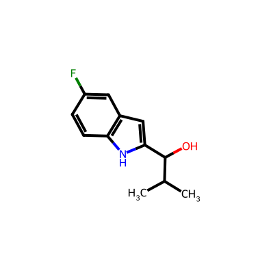 CC(C)C(O)c1cc2cc(F)ccc2[nH]1